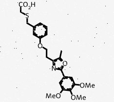 COc1cc(-c2nc(CCOc3cccc(CSCC(=O)O)c3)c(C)o2)cc(OC)c1OC